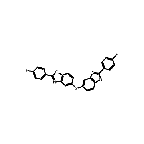 Fc1ccc(-c2nc3cc(Sc4ccc5oc(-c6ccc(F)cc6)nc5c4)ccc3o2)cc1